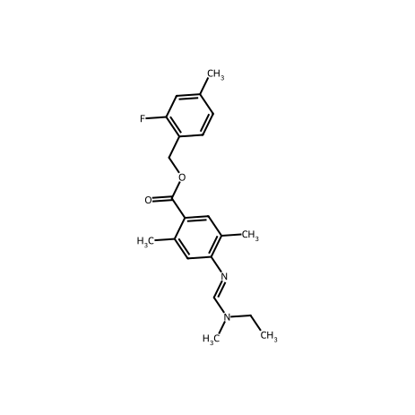 CCN(C)/C=N/c1cc(C)c(C(=O)OCc2ccc(C)cc2F)cc1C